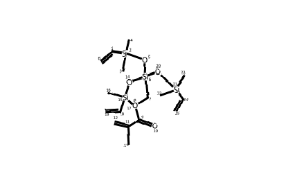 C=C[Si](C)(C)O[Si](COC(=O)C(=C)C)(O[Si](C)(C)C=C)O[Si](C)(C)C=C